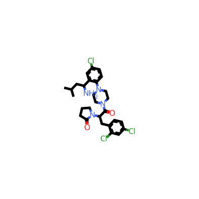 CC(C)CC(N)c1cc(Cl)ccc1N1CCN(C(=O)C(Cc2ccc(Cl)cc2Cl)N2CCCC2=O)CC1